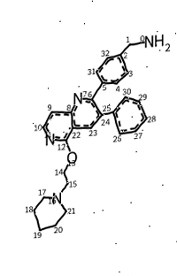 NCc1ccc(-c2nc3ccnc(OCCN4CCCCC4)c3cc2-c2ccccc2)cc1